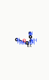 CCc1cc(NC(=O)NCCCN2CCCCC2)ccc1Nc1cc(-c2ccc(-n3cccn3)cc2)[nH]n1